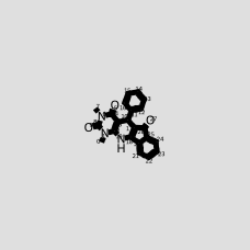 Cn1c2c(c(=O)n(C)c1=O)C(c1ccccc1)C1=C(N2)c2ccccc2C1=O